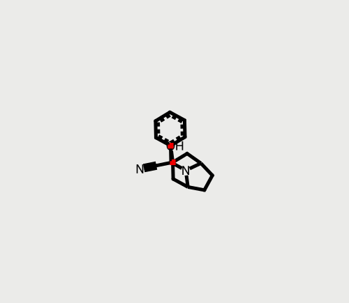 N#CC1(O)CC2CCC(C1)N2Cc1ccccc1